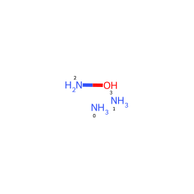 N.N.NO